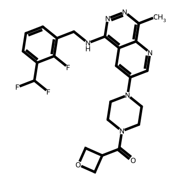 Cc1nnc(NCc2cccc(C(F)F)c2F)c2cc(N3CCN(C(=O)C4COC4)CC3)cnc12